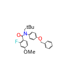 COc1ccc(C(=O)N(CC(C)(C)C)c2ccc(OCc3ccccc3)cc2)c(F)c1